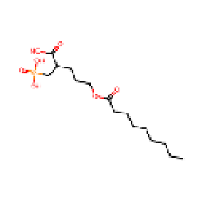 CCCCCCCCC(=O)OCCCC(CP(=O)(O)O)C(=O)O